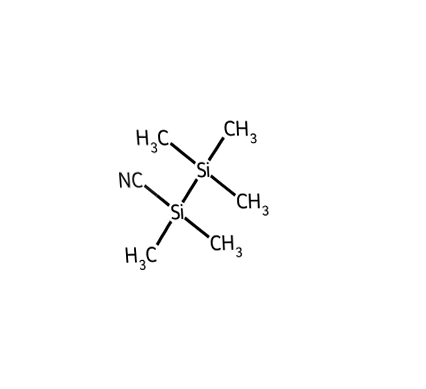 C[Si](C)(C)[Si](C)(C)C#N